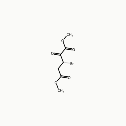 COC(=O)C[C@@H](Br)C(=O)C(=O)OC